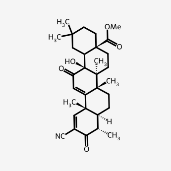 COC(=O)[C@]12CCC(C)(C)CC1[C@@]1(O)C(=O)C=C3[C@@]4(C)C=C(C#N)C(=O)[C@@H](C)[C@@H]4CC[C@@]3(C)[C@]1(C)CC2